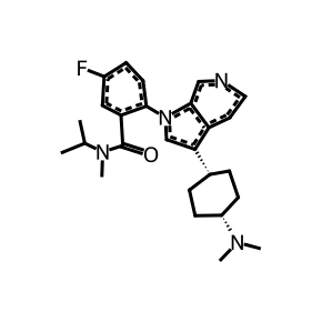 CC(C)N(C)C(=O)c1cc(F)ccc1-n1cc([C@H]2CC[C@@H](N(C)C)CC2)c2ccncc21